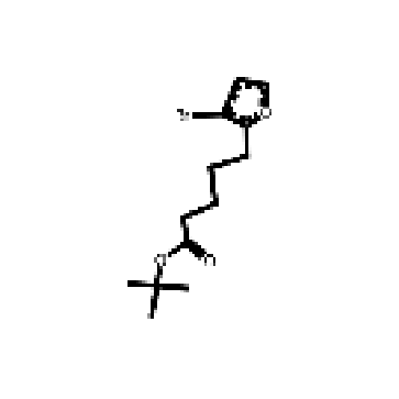 CC(C)(C)OC(=O)CCCCc1occc1Br